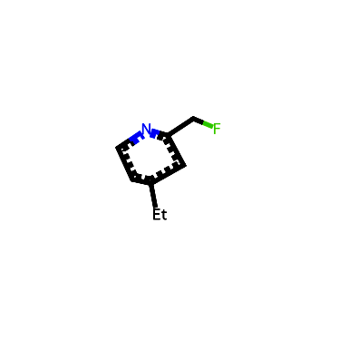 CCc1ccnc(CF)c1